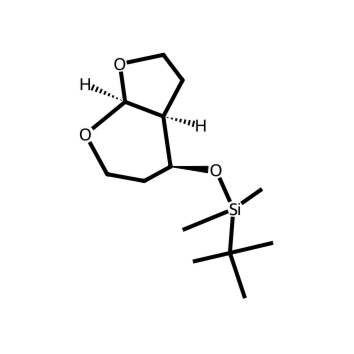 CC(C)(C)[Si](C)(C)O[C@H]1CCO[C@H]2OCC[C@H]21